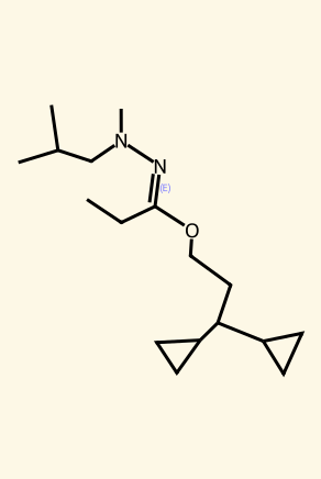 CC/C(=N\N(C)CC(C)C)OCCC(C1CC1)C1CC1